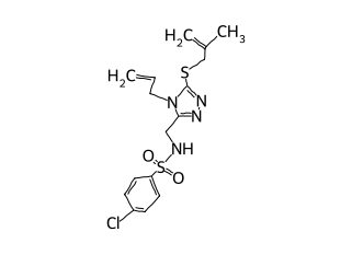 C=CCn1c(CNS(=O)(=O)c2ccc(Cl)cc2)nnc1SCC(=C)C